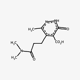 Cc1n[nH]c(=O)c(C(=O)O)c1CCC(=O)N(C)C